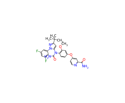 COc1cc(Oc2ccnc(C(N)=O)c2)ccc1N(C(N)=O)c1cc(C(C)(C)C)nn1-c1cc(F)cc(F)c1